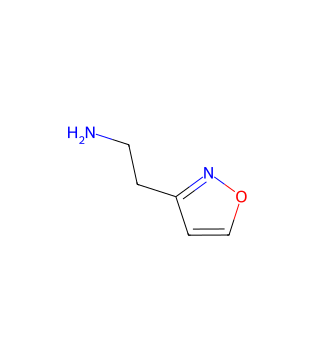 NCCc1ccon1